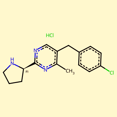 Cc1nc([C@H]2CCCN2)ncc1Cc1ccc(Cl)cc1.Cl